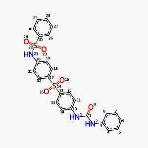 O=C(Nc1ccccc1)Nc1ccc(S(=O)(=O)c2ccc(NS(=O)(=O)c3ccccc3)cc2)cc1